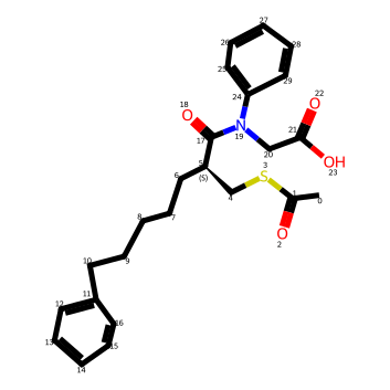 CC(=O)SC[C@@H](CCCCCc1ccccc1)C(=O)N(CC(=O)O)c1ccccc1